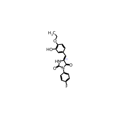 CCOc1ccc(/C=C2\NC(=O)N(c3ccc(F)cc3)C2=O)cc1O